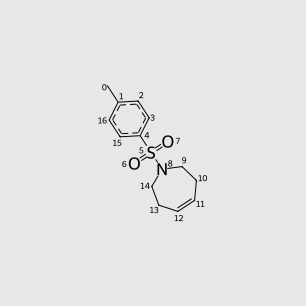 Cc1ccc(S(=O)(=O)N2CCC=CCC2)cc1